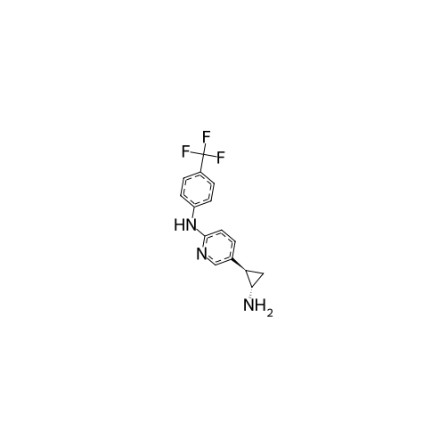 N[C@H]1C[C@@H]1c1ccc(Nc2ccc(C(F)(F)F)cc2)nc1